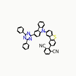 N#Cc1cccc(C#N)c1-c1ccc2sc3ccc(-n4c5ccccc5c5cc(-c6nc(-c7ccccc7)nc(-c7ccccc7)n6)ccc54)cc3c2c1